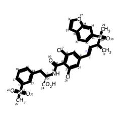 CC(/C=C/c1cc(Cl)c(C(=O)N[C@@H](Cc2cccc(S(C)(=O)=O)c2)C(=O)O)c(Cl)c1)P(C)(=O)c1ccc2ccoc2c1